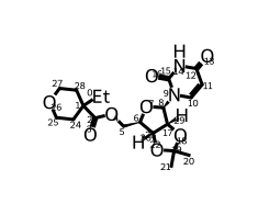 CCC1(C(=O)OC[C@H]2O[C@@H](n3ccc(=O)[nH]c3=O)[C@@H]3OC(C)(C)O[C@@H]32)CCOCC1